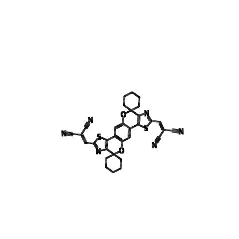 N#CC(C#N)=Cc1nc2c(s1)-c1cc3c(cc1OC21CCCCC1)-c1sc(C=C(C#N)C#N)nc1C1(CCCCC1)O3